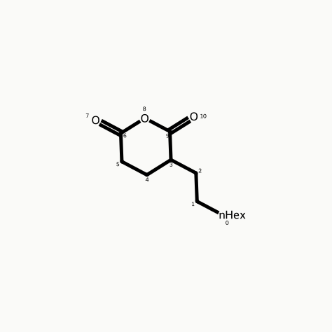 CCCCCCCCC1CCC(=O)OC1=O